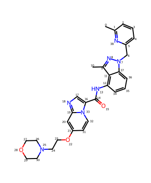 Cc1cccc(Cn2nc(C)c3c(NC(=O)c4cnc5cc(OCCN6CCOCC6)ccn45)cccc32)n1